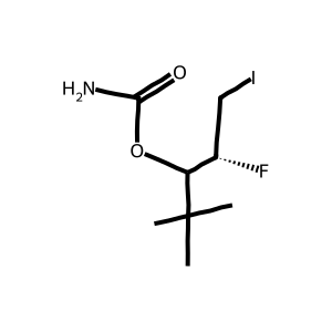 CC(C)(C)C(OC(N)=O)[C@@H](F)CI